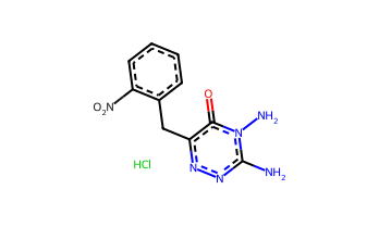 Cl.Nc1nnc(Cc2ccccc2[N+](=O)[O-])c(=O)n1N